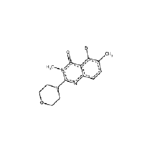 Cc1ccc2nc(N3CCOCC3)n(C)c(=O)c2c1Br